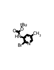 Cc1cnc(Br)c(NC(=O)OC(C)(C)C)c1